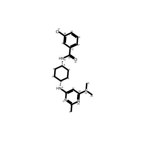 Cc1nc(N[C@H]2CC[C@@H](NC(=O)c3cccc(Cl)c3)CC2)cc(N(C)C)n1